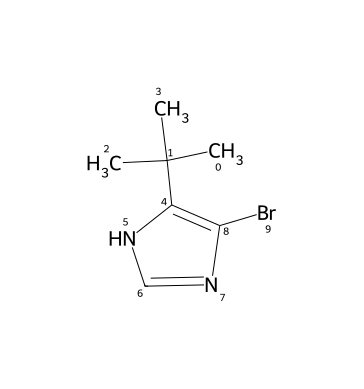 CC(C)(C)c1[nH]cnc1Br